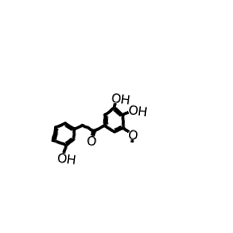 COc1cc(C(=O)Cc2cccc(O)c2)cc(O)c1O